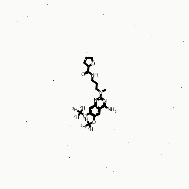 [2H]C([2H])([2H])Oc1cc2nc(N(C)CCCNC(=O)C3CCCO3)nc(N)c2cc1OC([2H])([2H])[2H]